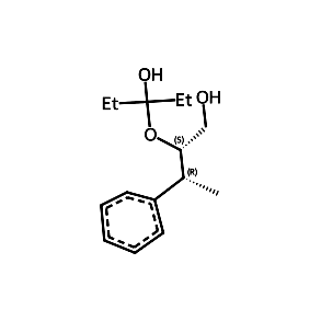 CCC(O)(CC)O[C@H](CO)[C@H](C)c1ccccc1